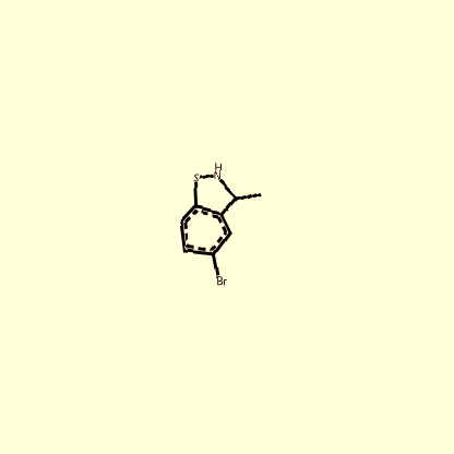 CC1NSc2ccc(Br)cc21